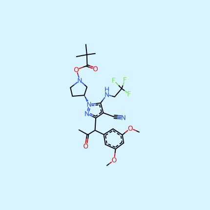 COc1cc(OC)cc(C(C(C)=O)c2nn([C@H]3CCN(OC(=O)C(C)(C)C)C3)c(NCC(F)(F)F)c2C#N)c1